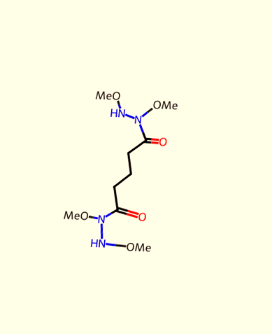 CONN(OC)C(=O)CCCC(=O)N(NOC)OC